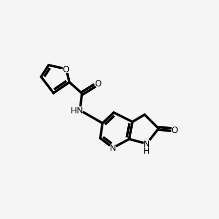 O=C1Cc2cc(NC(=O)c3ccco3)cnc2N1